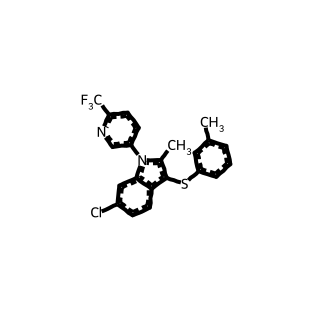 Cc1cccc(Sc2c(C)n(-c3ccc(C(F)(F)F)nc3)c3cc(Cl)ccc23)c1